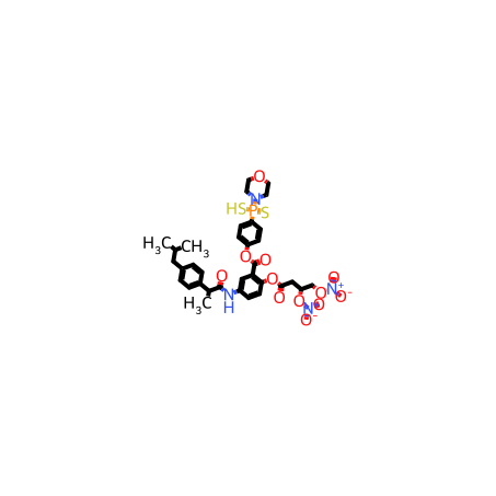 CC(C)Cc1ccc(C(C)C(=O)Nc2ccc(OC(=O)CC(CO[N+](=O)[O-])O[N+](=O)[O-])c(C(=O)Oc3ccc(P(=S)(S)N4CCOCC4)cc3)c2)cc1